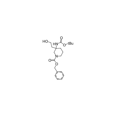 CC(C)(C)OC(=O)NC1(CCO)CCCN(C(=O)OCc2ccccc2)C1